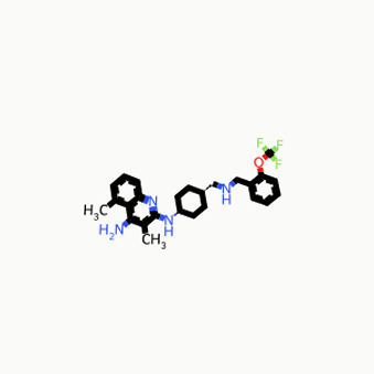 Cc1c(N[C@H]2CC[C@@H](CNCc3ccccc3OC(F)(F)F)CC2)nc2cccc(C)c2c1N